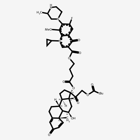 COc1c(N2CCNC(C)C2)c(F)cc2c(=O)c(C(=O)OCCCC(=O)O[C@@]3(C(=O)COC(=O)C(C)(C)C)CC[C@@H]4[C@H]5CCC6=CC(=O)C=C[C@@]6(C)C5[C@H](O)C[C@]43C)cn(C3CC3)c12